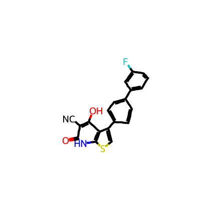 N#Cc1c(O)c2c(-c3ccc(-c4cccc(F)c4)cc3)csc2[nH]c1=O